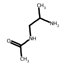 CC(=O)NCC(C)N